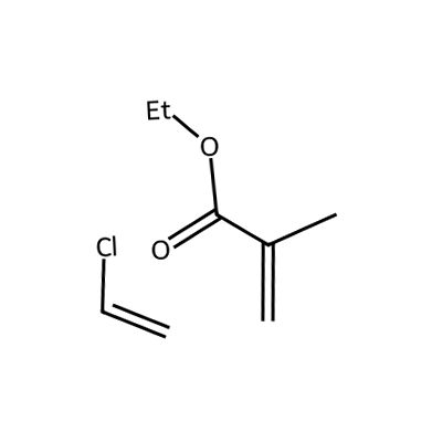 C=C(C)C(=O)OCC.C=CCl